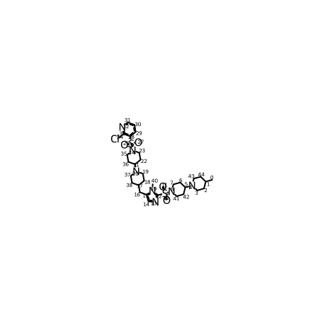 CC1CCN(C2CCN(S(=O)(=O)c3ncc(CC4CCN(C5CCN(S(=O)(=O)c6cccnc6Cl)CC5)CC4)n3C)CC2)CC1